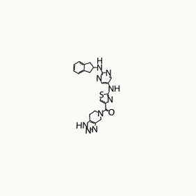 O=C(c1csc(Nc2cnc(NC3Cc4ccccc4C3)nc2)n1)N1CCc2[nH]nnc2C1